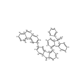 O=P(c1ccccc1)(c1ccccc1)c1cccc(-c2cccc3sc4ccc(-c5ccc6ccc7cccnc7c6n5)cc4c23)c1